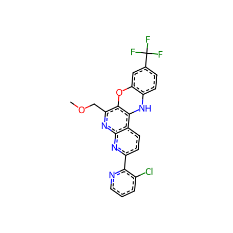 COCc1nc2nc(-c3ncccc3Cl)ccc2c2c1Oc1cc(C(F)(F)F)ccc1N2